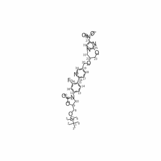 CC(C)(C)[Si](C)(C)OCC1CN(c2ccc(-c3ccc(COC4COc5nc([N+](=O)[O-])cn5C4)cn3)c(F)c2)C(=O)O1